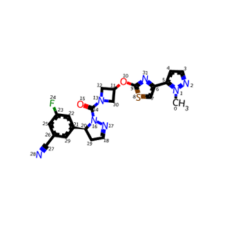 Cn1nccc1-c1csc(OC2CN(C(=O)N3N=CC[C@H]3c3cc(F)cc(C#N)c3)C2)n1